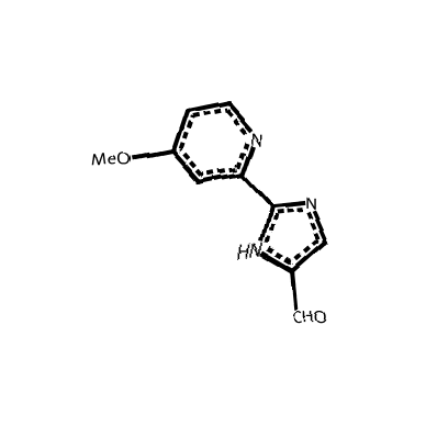 COc1ccnc(-c2ncc(C=O)[nH]2)c1